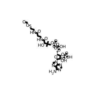 CC(C)(COP(=O)(O)OP(=O)(O)OC[C@H]1O[C@@H](n2cnc3c(N)ncnc32)[C@H](O)[C@@H]1OP(=O)(O)O)C(O)C(=O)NCCC(=O)NCCSOC=O